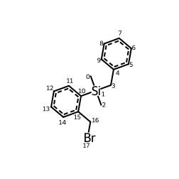 C[Si](C)(Cc1ccccc1)c1ccccc1CBr